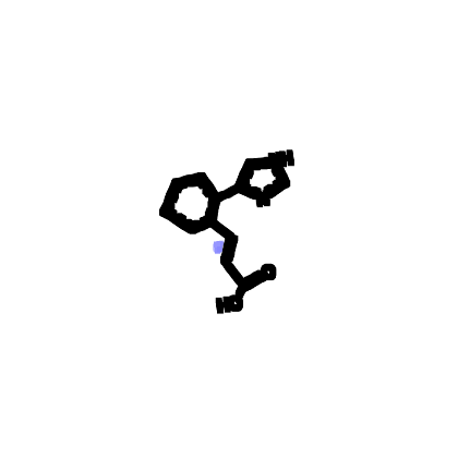 O=C(O)/C=C/c1ccccc1-c1c[nH]cn1